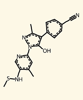 CSNc1cnc(-n2nc(C)c(-c3ccc(C#N)cc3)c2O)cc1C